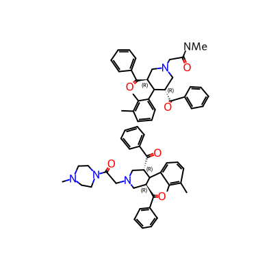 CNC(=O)CN1C[C@H](C(=O)c2ccccc2)C(c2cccc(C)c2C)[C@@H](C(=O)c2ccccc2)C1.Cc1cccc(C2[C@@H](C(=O)c3ccccc3)CN(CC(=O)N3CCN(C)CC3)C[C@@H]2C(=O)c2ccccc2)c1C